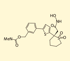 CNC(=O)OCc1cccc(-c2ccc([C@@]3(CC(=O)NO)CCCCS3(=O)=O)s2)c1